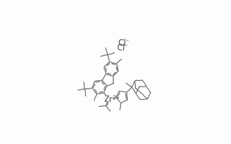 C[C](C)=[Zr+2]([C]1=CC(C2(C)C3CC4CC(C3)CC2C4)=CC1C)[c]1c(C)c(C(C)(C)C)cc2c1Cc1cc(C)c(C(C)(C)C)cc1-2.[Cl-].[Cl-]